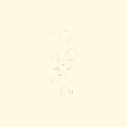 N=C1NC(c2cccc(-c3cccc(Cl)c3)c2)(C2CC2)C(=O)N1Cc1nccs1